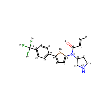 CC=CC(=O)N(c1ccc(-c2ccc(C(F)(F)F)cc2)s1)C1CCNC1